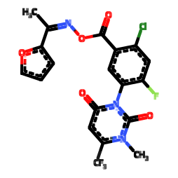 CC(=NOC(=O)c1cc(-n2c(=O)cc(C(F)(F)F)n(C)c2=O)c(F)cc1Cl)c1ccco1